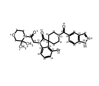 CC1(C)COCCN1C(=O)CN1C(=O)C2(CCN(C(=O)c3ccc4[nH]ncc4c3)CC2)c2c(Br)cccc21